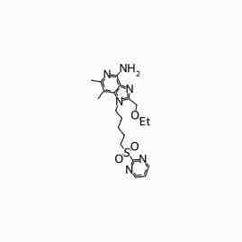 CCOCc1nc2c(N)nc(C)c(C)c2n1CCCCCS(=O)(=O)c1ncccn1